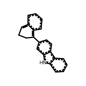 C1=c2ccccc2=C(c2ccc3c(c2)[nH]c2ccccc23)CC1